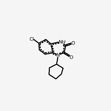 O=c1[nH]c2cc(Cl)ccc2n(C2CCCCC2)c1=O